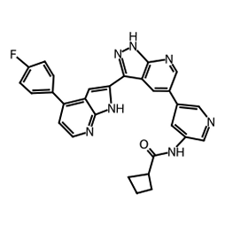 O=C(Nc1cncc(-c2cnc3[nH]nc(-c4cc5c(-c6ccc(F)cc6)ccnc5[nH]4)c3c2)c1)C1CCC1